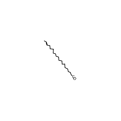 CC=CCCCCCCCCCCCCCCCCC[O]